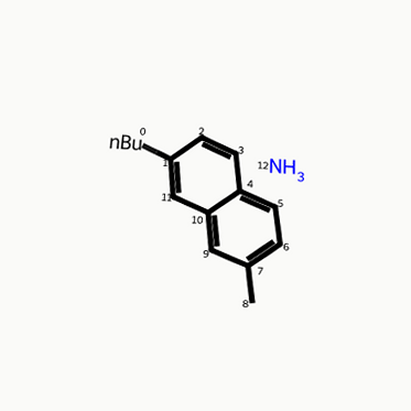 CCCCc1ccc2ccc(C)cc2c1.N